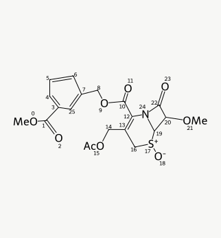 COC(=O)c1cccc(COC(=O)C2=C(COC(C)=O)C[S+]([O-])C3C(OC)C(=O)N23)c1